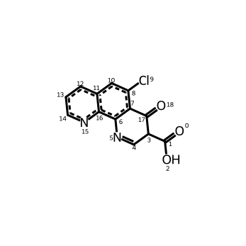 O=C(O)C1C=Nc2c(c(Cl)cc3cccnc23)C1=O